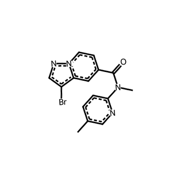 Cc1ccc(N(C)C(=O)c2ccn3ncc(Br)c3c2)nc1